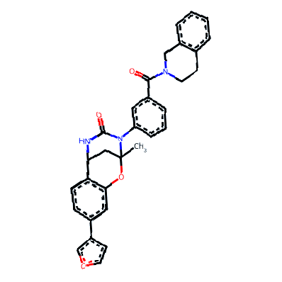 CC12CC(NC(=O)N1c1cccc(C(=O)N3CCc4ccccc4C3)c1)c1ccc(-c3ccoc3)cc1O2